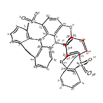 O=S1(=O)c2ccnc3c2B2c4c1ccc1c4[N+]4(c5c(ccc6c5B5c7c(ccnc7-c7ccc[n+]4c75)S6(=O)=O)O1)[n+]1cccc-3c12